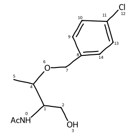 CC(=O)NC(CO)C(C)OCc1ccc(Cl)cc1